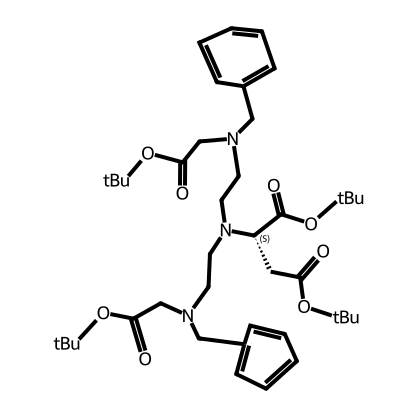 CC(C)(C)OC(=O)C[C@@H](C(=O)OC(C)(C)C)N(CCN(CC(=O)OC(C)(C)C)Cc1ccccc1)CCN(CC(=O)OC(C)(C)C)Cc1ccccc1